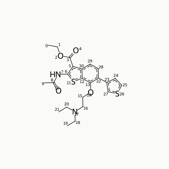 CCOC(=O)c1c(NC(C)=O)sc2c(OCCN(CC)CC)c(-c3ccsc3)ccc12